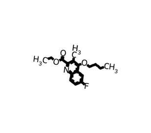 CCCCOc1c(C)c(C(=O)OCC)nc2ccc(F)cc12